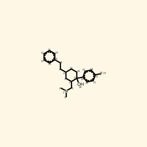 CN(C)CC1CC(CCc2ccccc2)CCC1(O)c1ccc(F)cc1